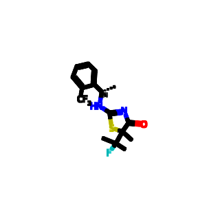 C[C@H](NC1=NC(=O)C(C)(C(C)(C)F)S1)c1ccccc1C(F)(F)F